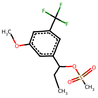 CCC(OS(C)(=O)=O)c1cc(OC)cc(C(F)(F)F)c1